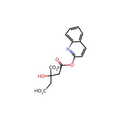 O=C(O)CC(O)(CC(=O)Oc1ccc2ccccc2n1)C(=O)O